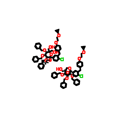 CO[C@@]1(c2ccc(Cl)c(Cc3ccc(OCCOC4CC4)cc3)c2)OC(CO)(CO)[C@@H](OCc2ccccc2)[C@H](OCc2ccccc2)[C@H]1OCc1ccccc1.OC[C@@]12CO[C@@](c3ccc(Cl)c(Cc4ccc(OCCOC5CC5)cc4)c3)(O1)[C@H](OCc1ccccc1)[C@@H](OCc1ccccc1)[C@@H]2OCc1ccccc1